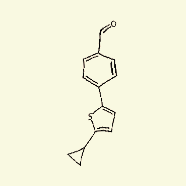 O=Cc1ccc(-c2ccc(C3CC3)s2)cc1